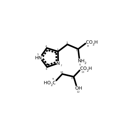 NC(Cc1c[nH]cn1)C(=O)O.O=C(O)CC(O)C(=O)O